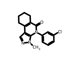 Cn1ncc2c3c(c(=O)n(-c4cccc(Cl)c4)c21)CCCC3